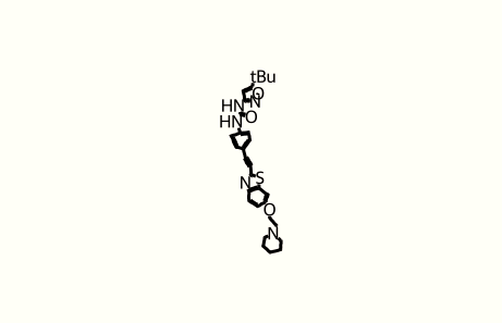 CC(C)(C)c1cc(NC(=O)Nc2ccc(C#Cc3nc4ccc(OCCN5CCCCC5)cc4s3)cc2)no1